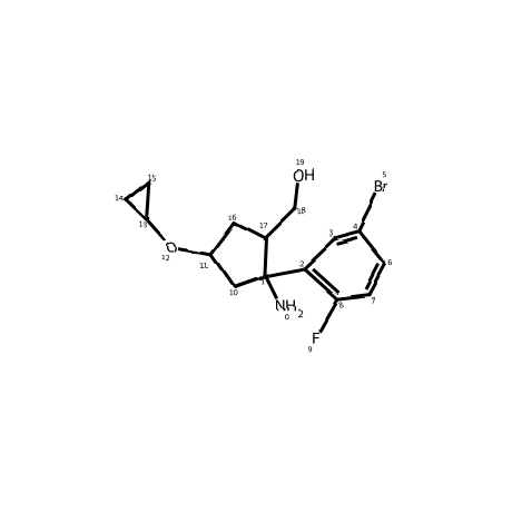 NC1(c2cc(Br)ccc2F)CC(OC2CC2)CC1CO